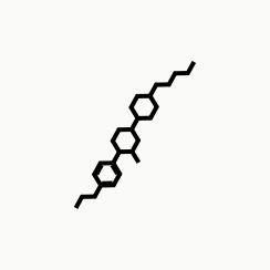 CCCCCC1CCC(C2CCC(c3ccc(CCC)cc3)C(C)C2)CC1